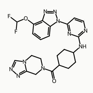 O=C(C1CCC(Nc2nccc(-n3nnc4c(OC(F)F)cccc43)n2)CC1)N1CCn2cnnc2C1